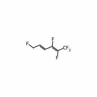 F[CH]C=CC(F)=C(F)C(F)(F)F